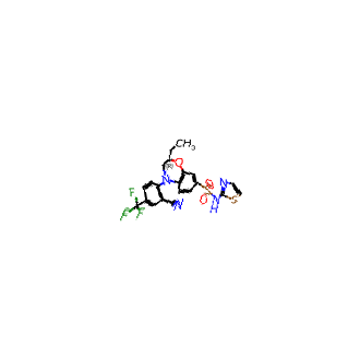 CC[C@@H]1CN(c2ccc(C(F)(F)F)cc2C#N)c2ccc(S(=O)(=O)Nc3nccs3)cc2O1